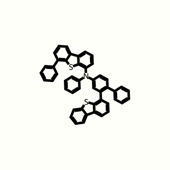 c1ccc(-c2ccc(N(c3ccccc3)c3cccc4c3sc3c(-c5ccccc5)cccc34)cc2-c2cccc3c2sc2ccccc23)cc1